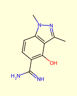 Cc1nn(C)c2ccc(C(=N)N)c(O)c12